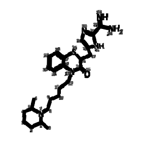 CC1CCCC(C)N1CCCCCN1C(=O)C(Cc2cnc(C(=N)N)[nH]2)Sc2ccccc21